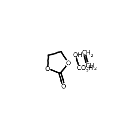 C=C.O=C(O)O.O=C1OCCO1